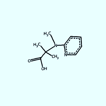 CN(c1ccccn1)C(C)(C)C(=O)O